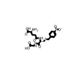 N[C@@H](CCC(=O)N[C@H](CSCc1ccc([N+](=O)[O-])cc1)C(=O)NCC(=O)O)C(=O)O